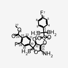 BC(B)(c1ccc(F)cc1)S(=O)(=O)OC1=C(N)O[C@](B)(c2ccc(C(=O)OC)c(F)c2)C1=O